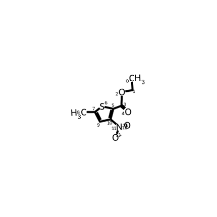 CCOC(=O)c1sc(C)cc1[N+](=O)[O-]